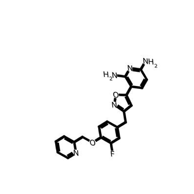 Nc1ccc(-c2cc(Cc3ccc(OCc4ccccn4)c(F)c3)no2)c(N)n1